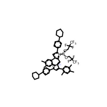 Cc1cc(C)c(C2=CC(c3ccc(C4CCCCC4)cc3)=N/C2=C\c2c(-c3cc(C)c(C)cc3C)cc(-c3ccc(C4CCCCC4)cc3)n2B(OCC(F)(F)C(F)(F)F)OCC(F)(F)C(F)(F)F)cc1C